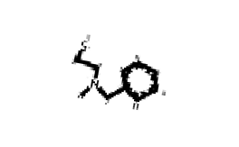 CN(CC[S])Cc1ccccc1